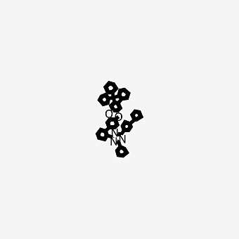 c1ccc(-c2ccc(-c3nc(-c4ccccc4)nc(-c4ccccc4-c4ccc5c(c4)Oc4cc6c(cc4O5)-c4ccccc4C6(c4ccccc4)c4ccccc4)n3)cc2)cc1